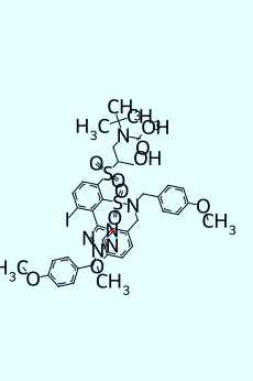 COc1ccc(CN(Cc2ccc(OC)cc2)S(=O)(=O)c2c(S(=O)(=O)C(CO)CN(C(=O)O)C(C)(C)C)ccc(I)c2-c2nnn(Cc3ccc(OC)cc3)n2)cc1